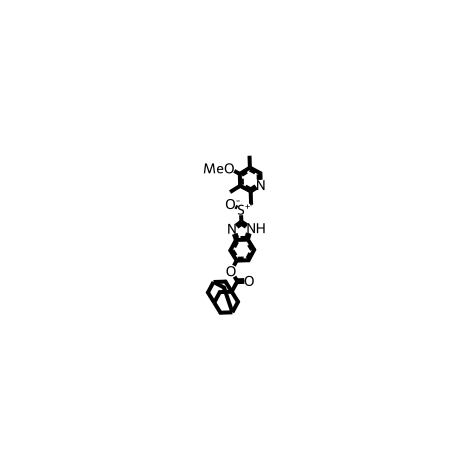 COc1c(C)cnc(C[S+]([O-])c2nc3cc(OC(=O)C45CC6CC(CC(C6)C4)C5)ccc3[nH]2)c1C